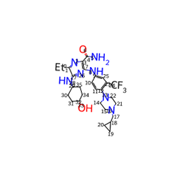 CCc1nc(C(N)=O)c(Nc2ccc(N3CCN(CC4CC4)CC3)c(C(F)(F)F)c2)nc1NC1CCC(O)CC1